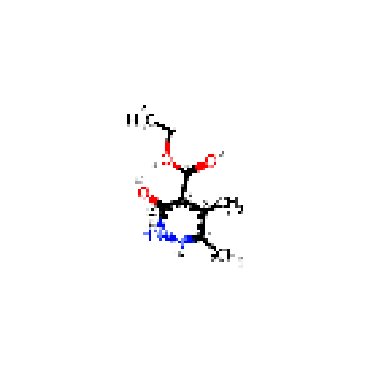 CCOC(=O)c1c(C)c(C)n[nH]c1=O